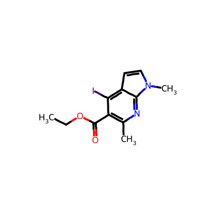 CCOC(=O)c1c(C)nc2c(ccn2C)c1I